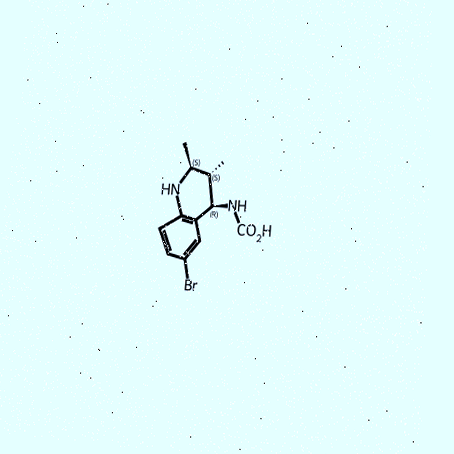 C[C@H]1[C@H](C)Nc2ccc(Br)cc2[C@@H]1NC(=O)O